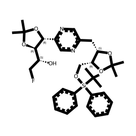 CC1(C)O[C@H]([C@H](O)CF)[C@@H](c2cnc(C[C@@H]3OC(C)(C)O[C@@H]3CO[Si](c3ccccc3)(c3ccccc3)C(C)(C)C)cn2)O1